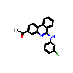 CC(=O)c1ccc2c(c1)nc(Nc1cccc(Cl)c1)c1ccccc12